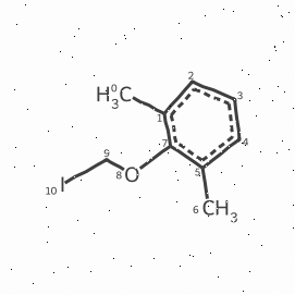 Cc1cccc(C)c1OCI